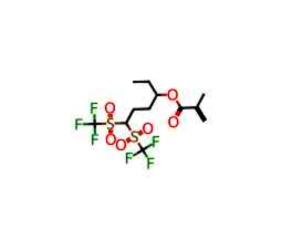 C=C(C)C(=O)OC(CC)CCC(S(=O)(=O)C(F)(F)F)S(=O)(=O)C(F)(F)F